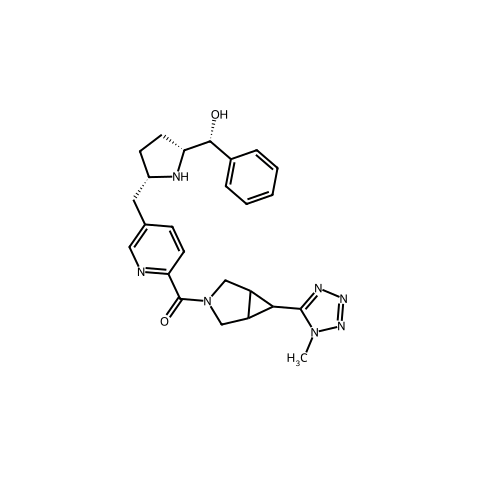 Cn1nnnc1C1C2CN(C(=O)c3ccc(C[C@@H]4CC[C@H]([C@H](O)c5ccccc5)N4)cn3)CC21